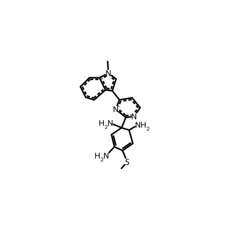 CSC1=CC(N)C(N)(c2nccc(-c3cn(C)c4ccccc34)n2)C=C1N